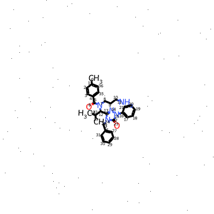 Cc1ccc(C(=O)N(CCCN)C(c2nn(-c3ccccc3)c(=O)n2Cc2ccccc2)C(C)C)cc1